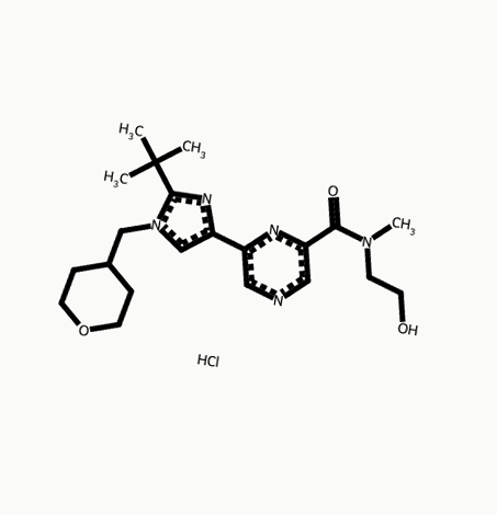 CN(CCO)C(=O)c1cncc(-c2cn(CC3CCOCC3)c(C(C)(C)C)n2)n1.Cl